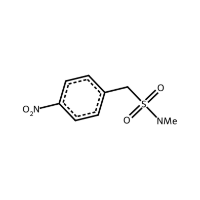 CNS(=O)(=O)Cc1ccc([N+](=O)[O-])cc1